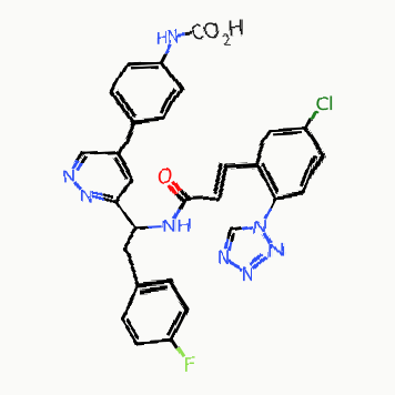 O=C(O)Nc1ccc(-c2cnnc(C(Cc3ccc(F)cc3)NC(=O)C=Cc3cc(Cl)ccc3-n3cnnn3)c2)cc1